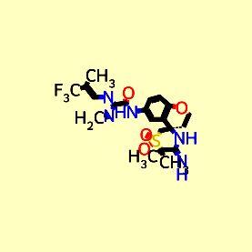 C=N/C(=N\C=C(/C)C(F)(F)F)C(=O)Nc1ccc2c(c1)[C@]1(CCO2)CS(=O)(=O)C(C)(C)C(=N)N1